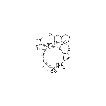 CO[C@H](C(=O)N(C)C)[C@@]1(O)/C=C/C[C@H](C)[C@@H](C)S(=O)(=O)NC(=O)c2ccc3c(c2)N(C[C@@H]2CC[C@H]21)C[C@@]1(CCCc2cc(Cl)ccc21)CO3